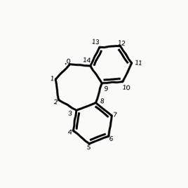 [CH]1CCc2ccccc2-c2ccccc21